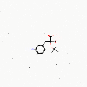 CC(C)(C)OC(Cc1cccc(N)c1)(C(=O)O)C(=O)O